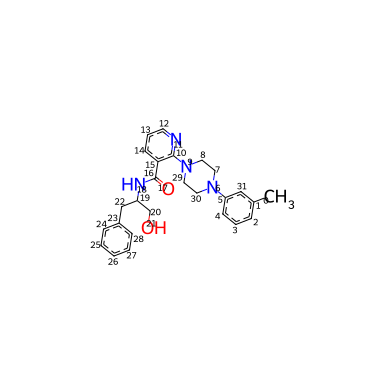 Cc1cccc(N2CCN(c3ncccc3C(=O)NC(CO)Cc3ccccc3)CC2)c1